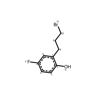 Oc1ccc(F)cc1C[CH]CBr